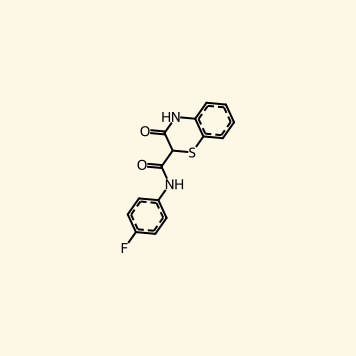 O=C(Nc1ccc(F)cc1)C1Sc2ccccc2NC1=O